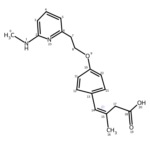 CNc1cccc(CCOc2ccc(/C=C(/C)CC(=O)O)cc2)n1